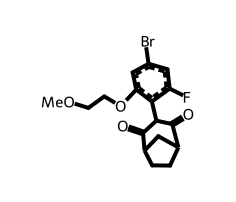 COCCOc1cc(Br)cc(F)c1C1C(=O)C2CCC(C2)C1=O